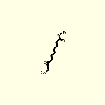 CCCCCCCCCCCC1=C(/C=C/C=C/C=C/C(=O)NCCC)O1